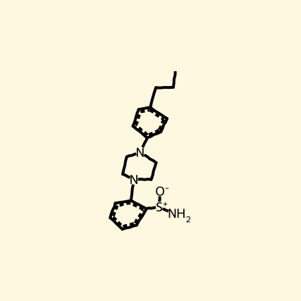 CCCc1ccc(N2CCN(c3ccccc3[S+](N)[O-])CC2)cc1